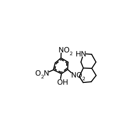 C1CCC2CNCCC2C1.O=[N+]([O-])c1cc([N+](=O)[O-])c(O)c([N+](=O)[O-])c1